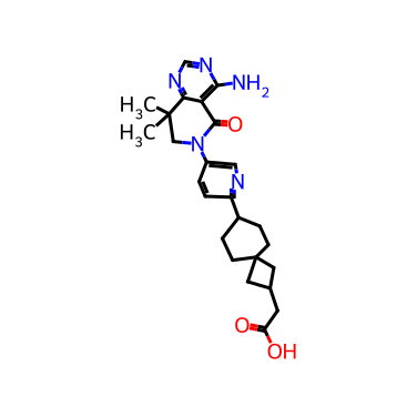 CC1(C)CN(c2ccc(C3CCC4(CC3)CC(CC(=O)O)C4)nc2)C(=O)c2c(N)ncnc21